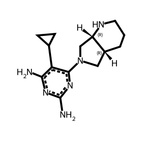 Nc1nc(N)c(C2CC2)c(N2C[C@H]3CCCN[C@H]3C2)n1